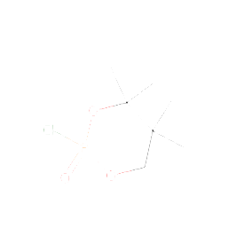 CC1(C)COP(=O)(Cl)OC1(C)C